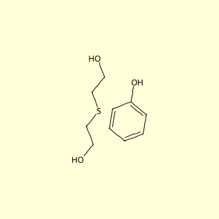 OCCSCCO.Oc1ccccc1